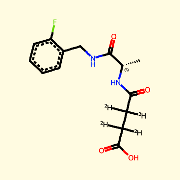 [2H]C([2H])(C(=O)O)C([2H])([2H])C(=O)N[C@@H](C)C(=O)NCc1ccccc1F